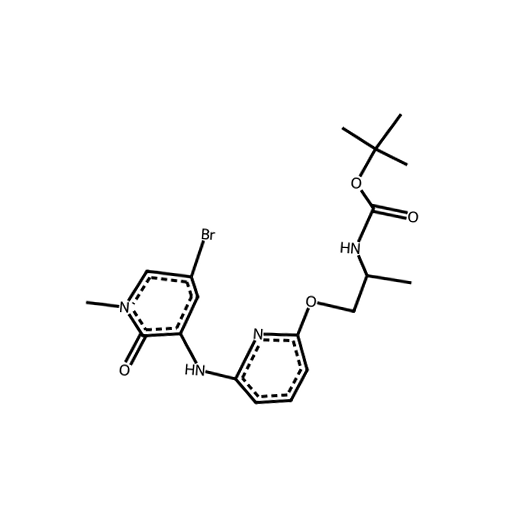 CC(COc1cccc(Nc2cc(Br)cn(C)c2=O)n1)NC(=O)OC(C)(C)C